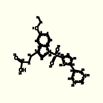 CCOc1ccc2c(c1)c(CCC(=O)O)cn2S(=O)(=O)c1ccc(-c2cncnc2)s1